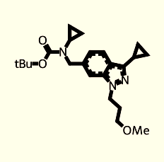 COCCCn1nc(C2CC2)c2ccc(CN(C(=O)OC(C)(C)C)C3CC3)cc21